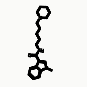 Cn1cc(C(=O)NCCCCCN2CC[CH]CC2)c2ccccc21